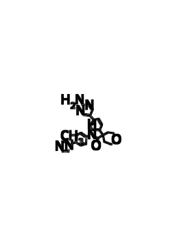 Cc1nccn1-c1ccc(NC(=O)C2(c3ccc(-c4cnc(N)nc4)cc3)CCOCC2)cc1